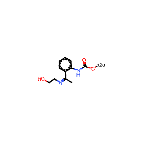 C/C(=N/CCO)c1ccccc1NC(=O)OC(C)(C)C